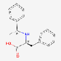 C[C@@H](N[C@@H](Cc1ccccc1)C(=O)O)c1ccccc1